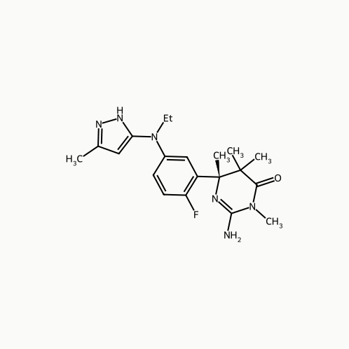 CCN(c1ccc(F)c([C@@]2(C)N=C(N)N(C)C(=O)C2(C)C)c1)c1cc(C)n[nH]1